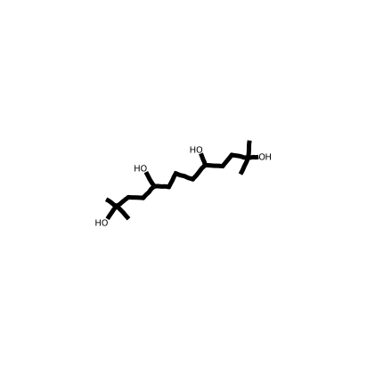 CC(C)(O)CCC(O)CCCC(O)CCC(C)(C)O